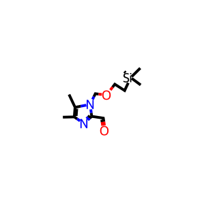 Cc1nc(C=O)n(COCC[Si](C)(C)C)c1C